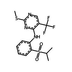 CSc1ncc(C(F)(F)F)c(Nc2ccccc2S(=O)(=O)C(C)C)n1